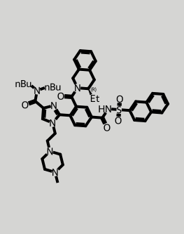 CCCCN(CCCC)C(=O)c1cn(CCN2CCN(C)CC2)c(-c2ccc(C(=O)NS(=O)(=O)c3ccc4ccccc4c3)cc2C(=O)N2Cc3ccccc3C[C@H]2CC)n1